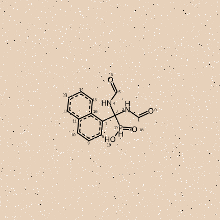 O=CNC(NC=O)(c1cccc2ccccc12)[PH](=O)O